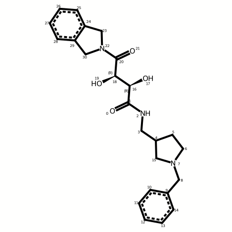 O=C(NCC1CCN(Cc2ccccc2)C1)[C@H](O)[C@@H](O)C(=O)N1Cc2ccccc2C1